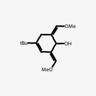 COC=C1C=C(C(C)(C)C)CC(=COC)C1O